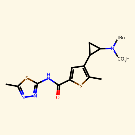 Cc1nnc(NC(=O)c2cc(C3CC3N(C(=O)O)C(C)(C)C)c(C)s2)s1